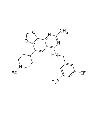 CC(=O)N1CCC(c2cc3c(NCc4cc(N)cc(C(F)(F)F)c4)nc(C)nc3c3c2OCO3)CC1